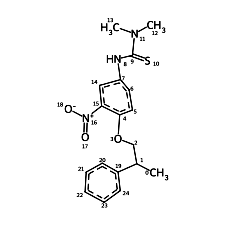 CC(COc1ccc(NC(=S)N(C)C)cc1[N+](=O)[O-])c1ccccc1